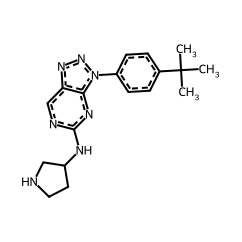 CC(C)(C)c1ccc(-n2nnc3cnc(NC4CCNC4)nc32)cc1